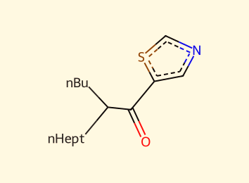 CCCCCCCC(CCCC)C(=O)c1cncs1